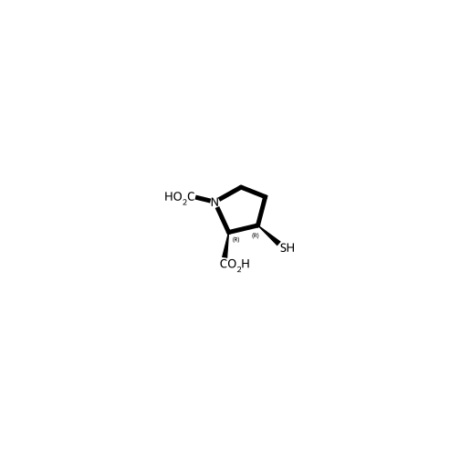 O=C(O)[C@@H]1[C@H](S)CCN1C(=O)O